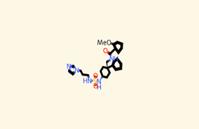 COc1ccccc1C(=O)NC[C@]1(c2ccccc2)CC[C@H](NS(=O)(=O)NCCCn2ccnc2)CC1